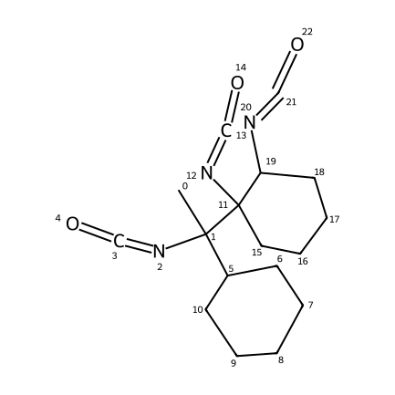 CC(N=C=O)(C1CCCCC1)C1(N=C=O)CCCCC1N=C=O